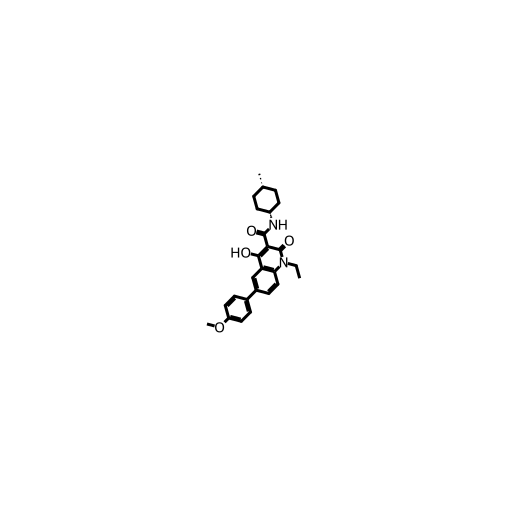 CCn1c(=O)c(C(=O)N[C@H]2CC[C@@H](C)CC2)c(O)c2cc(-c3ccc(OC)cc3)ccc21